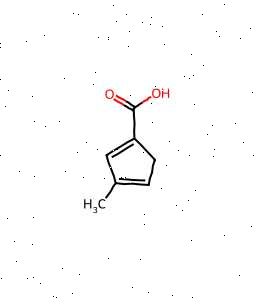 CC1=CCC(C(=O)O)=C1